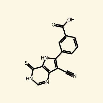 N#Cc1c(-c2cccc(C(=O)O)c2)[nH]c2c(=S)[nH]cnc12